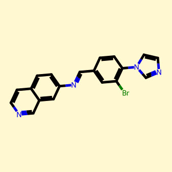 Brc1cc(/C=N/c2ccc3ccncc3c2)ccc1-n1ccnc1